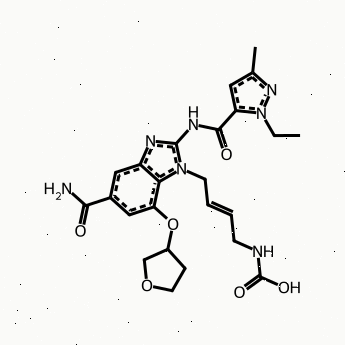 CCn1nc(C)cc1C(=O)Nc1nc2cc(C(N)=O)cc(OC3CCOC3)c2n1CC=CCNC(=O)O